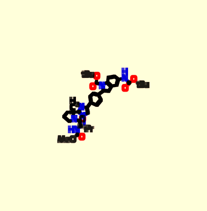 COC(=O)N[C@H](C(=O)N1CCC[C@@]1(C)c1nc(-c2ccc(-c3cc4cc(NC(=O)OC(C)(C)C)ccc4n3C(=O)OC(C)(C)C)cc2)c[nH]1)C(C)C